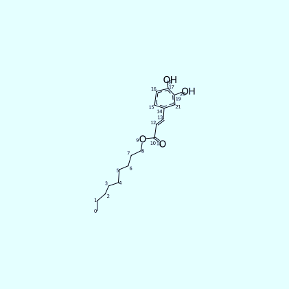 CCCCCCCCCOC(=O)/C=C/c1ccc(O)c(O)c1